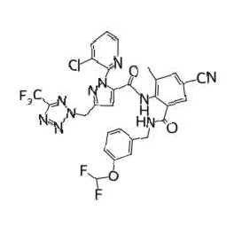 Cc1cc(C#N)cc(C(=O)NCc2cccc(OC(F)F)c2)c1NC(=O)c1cc(Cn2nnc(C(F)(F)F)n2)nn1-c1ncccc1Cl